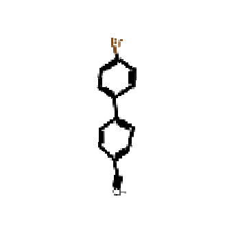 C#Cc1ccc(-c2ccc(Br)cc2)cc1